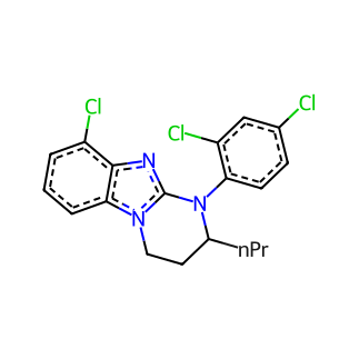 CCCC1CCn2c(nc3c(Cl)cccc32)N1c1ccc(Cl)cc1Cl